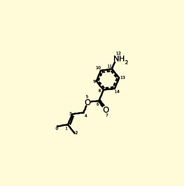 CC(C)=CCOC(=O)c1ccc(N)cc1